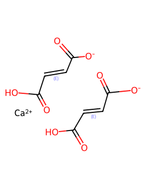 O=C([O-])/C=C/C(=O)O.O=C([O-])/C=C/C(=O)O.[Ca+2]